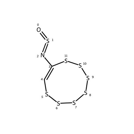 O=S=NC1=CSSSSSSS1